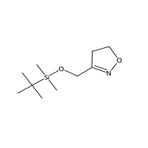 CC(C)(C)[Si](C)(C)OCC1=NOCC1